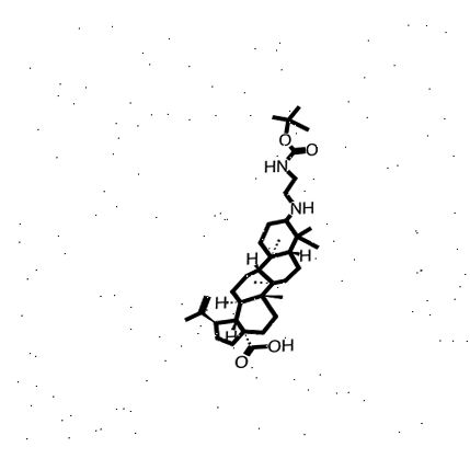 C=C(C)[C@@H]1CC[C@]2(C(=O)O)CC[C@]3(C)[C@H](CC[C@@H]4[C@@]5(C)CCC(NCCNC(=O)OC(C)(C)C)C(C)(C)[C@@H]5CC[C@]43C)[C@@H]12